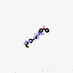 O=C(Nc1nc2c([nH]1)=CC(C(=O)c1ccccc1)CC=2)c1csc(C2CCN(c3ncnc4ccsc34)CC2)n1